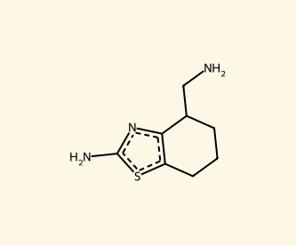 NCC1CCCc2sc(N)nc21